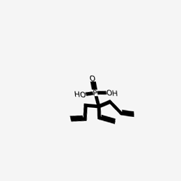 C=CCC(C=C)(CC=C)P(=O)(O)O